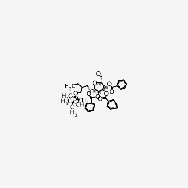 C=CC(CO[Si](C)(C)C(C)(C)C)CS[C@H]1O[C@H](C=O)[C@H](OC(=O)c2ccccc2)[C@H](OC(=O)c2ccccc2)[C@H]1OC(=O)c1ccccc1